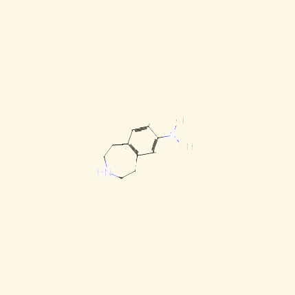 CN(C)c1ccc2c(c1)CCNCC2